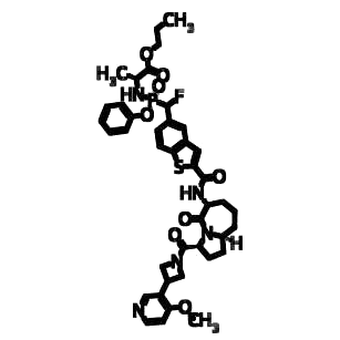 CCCOC(=O)[C@H](C)NP(=O)(Oc1ccccc1)C(F)c1ccc2sc(C(=O)N[C@H]3CCC[C@H]4CC[C@@H](C(=O)N5CC(c6cnccc6OC)C5)N4C3=O)cc2c1